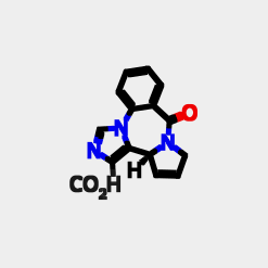 O=C(O)c1ncn2c1[C@H]1C=CCN1C(=O)c1ccccc1-2